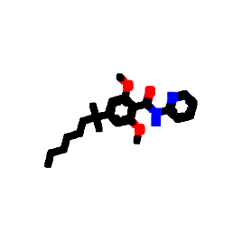 CCCCCCC(C)(C)c1cc(OC)c(C(=O)Nc2ccccn2)c(OC)c1